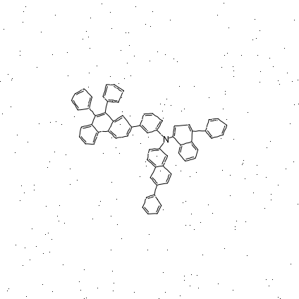 c1ccc(-c2ccc3cc(N(c4cccc(-c5ccc6c(c5)c(-c5ccccc5)c(-c5ccccc5)c5ccccc56)c4)c4ccc(-c5ccccc5)c5ccccc45)ccc3c2)cc1